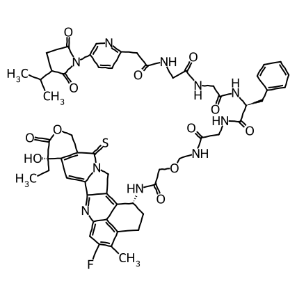 CC[C@@]1(O)C(=O)OCc2c1cc1n(c2=S)Cc2c-1nc1cc(F)c(C)c3c1c2[C@H](NC(=O)COCNC(=O)CNC(=O)[C@H](Cc1ccccc1)NC(=O)CNC(=O)CNC(=O)Cc1ccc(N2C(=O)CC(C(C)C)C2=O)cn1)CC3